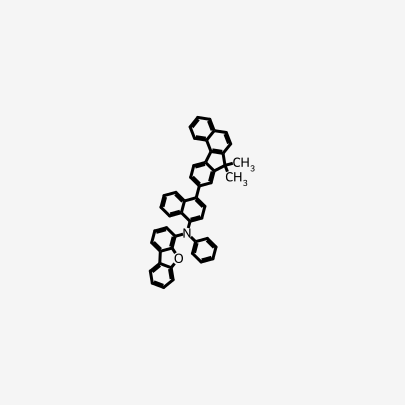 CC1(C)c2cc(-c3ccc(N(c4ccccc4)c4cccc5c4oc4ccccc45)c4ccccc34)ccc2-c2c1ccc1ccccc21